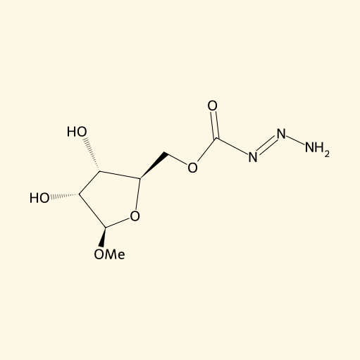 CO[C@@H]1O[C@H](COC(=O)N=NN)[C@@H](O)[C@H]1O